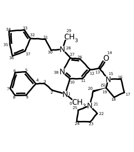 CN(CCc1ccccc1)c1cc(C(=O)N2CCC[C@H]2CN2CCCC2)cc(N(C)CCc2ccccc2)n1